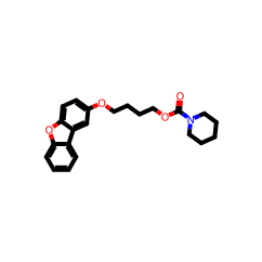 O=C(OCCCCOc1ccc2oc3ccccc3c2c1)N1CCCCC1